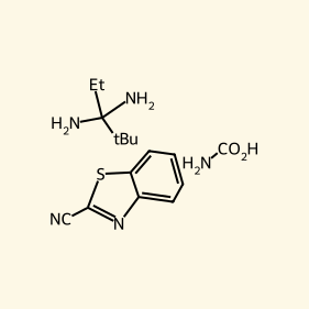 CCC(N)(N)C(C)(C)C.N#Cc1nc2ccccc2s1.NC(=O)O